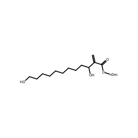 C=C(C(=O)OCCCCCCCCCC)C(O)CCCCCCCCCO